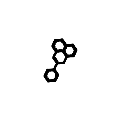 C1=C(c2ccccc2)Cc2cccc3cccc1c23